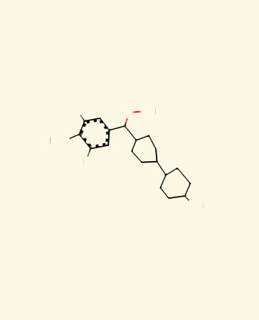 Cc1c(F)cc(C(OO)C2CCC(C3CCC(C)CC3)CC2)cc1F